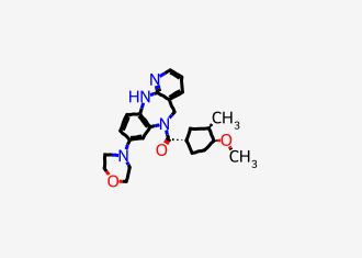 CO[C@H]1CC[C@H](C(=O)N2Cc3cccnc3Nc3ccc(N4CCOCC4)cc32)C[C@H]1C